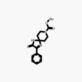 CC(C)(C)OC(=O)N1CCC2(CC1)N=C(c1ccccc1)C(=S)N2